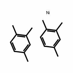 Cc1ccc(C)c(C)c1.Cc1ccc(C)c(C)c1.[Ni]